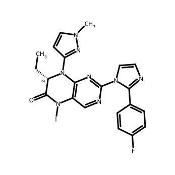 CC[C@H]1C(=O)N(I)c2cnc(-n3ccnc3-c3ccc(F)cc3)nc2N1c1ccn(C)n1